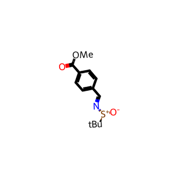 COC(=O)c1ccc(/C=N/[S@@+]([O-])C(C)(C)C)cc1